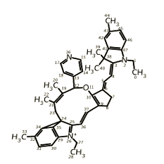 CCN1/C(=C/C=C2\CCC3=C2OC(c2ccncc2)/C(C)=C(/C)CC24C(=[N+](CC)c5ccc(C)c2c54)/C=C/3)C(C)(C)c2cc(C)ccc21